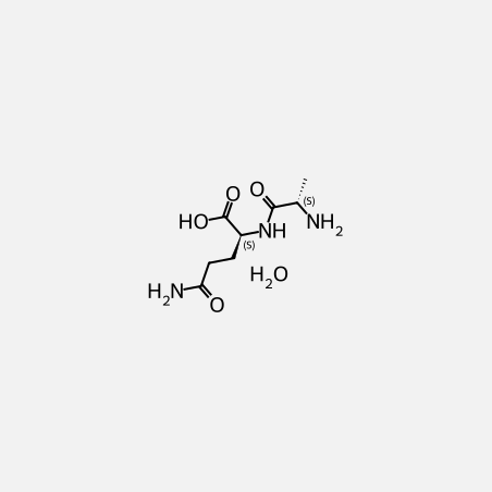 C[C@H](N)C(=O)N[C@@H](CCC(N)=O)C(=O)O.O